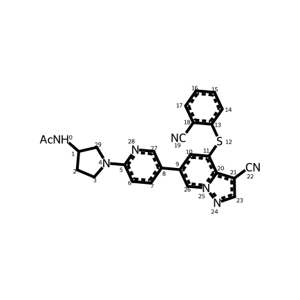 CC(=O)NC1CCN(c2ccc(-c3cc(Sc4ccccc4C#N)c4c(C#N)cnn4c3)cn2)C1